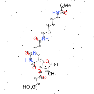 CC[C@H]1O[C@@H](c2cn(CCC(=O)NCCCCCCNC(=O)OC)c(=O)[nH]c2=O)[C@@H](OC(=O)CCC(=O)O)C1C